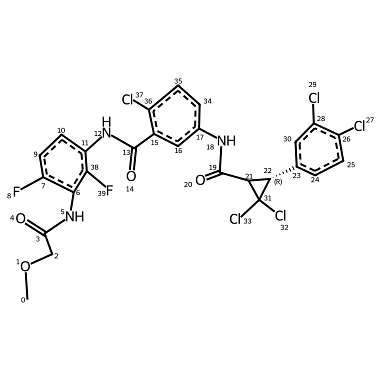 COCC(=O)Nc1c(F)ccc(NC(=O)c2cc(NC(=O)C3[C@H](c4ccc(Cl)c(Cl)c4)C3(Cl)Cl)ccc2Cl)c1F